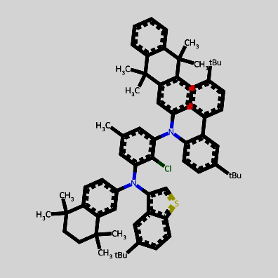 Cc1cc(N(c2ccc3c(c2)C(C)(C)c2ccccc2C3(C)C)c2ccc(C(C)(C)C)cc2-c2ccc(C(C)(C)C)cc2)c(Cl)c(N(c2ccc3c(c2)C(C)(C)CCC3(C)C)c2csc3ccc(C(C)(C)C)cc23)c1